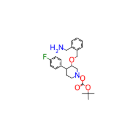 CC(C)(C)OC(=O)ON1CCC(c2ccc(F)cc2)C(OCc2ccccc2CN)C1